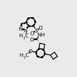 COc1ccc(C2CCC2)c2c1[C@H](C(=O)NS(=O)(=O)c1cccc3cnn(C)c13)C2